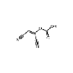 N#C/C=C(\C#N)OC(=O)O